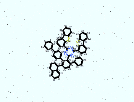 c1ccc(-c2ccc(-c3c(-c4cccc5ccccc45)ccc(-c4ccccc4)c3-c3nc(-c4cccc5c4sc4ccccc45)nc(-c4cccc5c4sc4ccccc45)n3)cc2)cc1